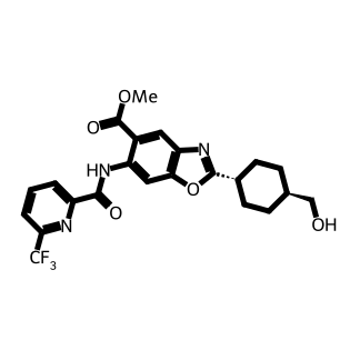 COC(=O)c1cc2nc([C@H]3CC[C@H](CO)CC3)oc2cc1NC(=O)c1cccc(C(F)(F)F)n1